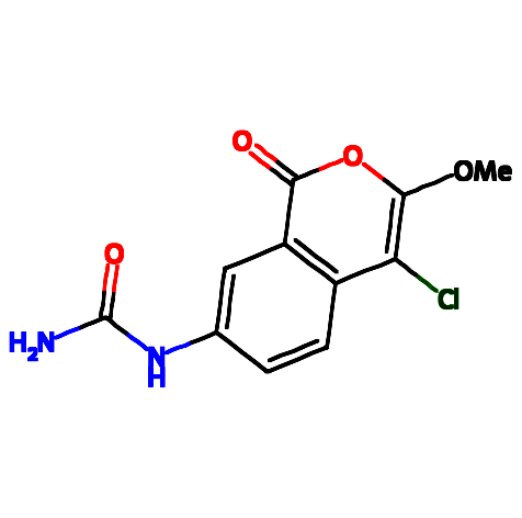 COc1oc(=O)c2cc(NC(N)=O)ccc2c1Cl